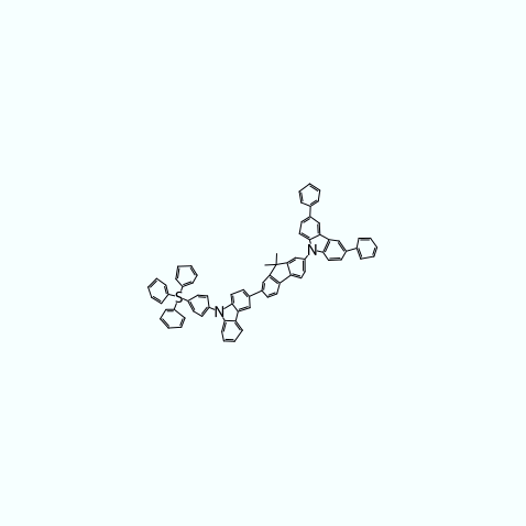 CC1(C)c2cc(-c3ccc4c(c3)c3ccccc3n4-c3ccc(S(c4ccccc4)(c4ccccc4)c4ccccc4)cc3)ccc2-c2ccc(-n3c4ccc(-c5ccccc5)cc4c4cc(-c5ccccc5)ccc43)cc21